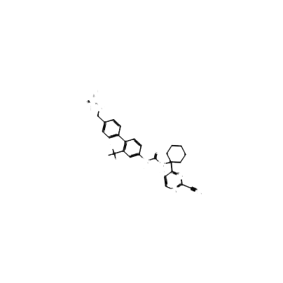 N#Cc1nccc(C2(NC(=O)Nc3ccc(-c4ccc(CN[SH](=O)=O)cc4)c(C(F)(F)F)c3)CCCCC2)n1